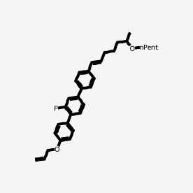 C=CCOc1ccc(-c2ccc(-c3ccc(/C=C/CCCC(C)OCCCCC)cc3)cc2F)cc1